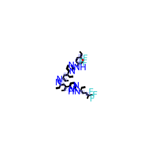 C=CC(=C\C(=C/C)c1ccnc(N/C(C=C)=C/C=C(\C)C(F)(F)F)n1)/N=N\C(=C\C)\C=C(/C=C)c1ccnc(NC(/C=C\C(=C/C)C(F)(F)F)=C/C)n1